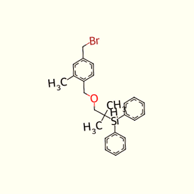 Cc1cc(CBr)ccc1COCC(C)(C)[SiH](c1ccccc1)c1ccccc1